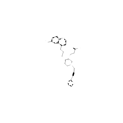 COc1ccc2nccc(CCC[C@@H]3CCN(CC#Cc4ncco4)C[C@@H]3CCC(=O)O)c2c1